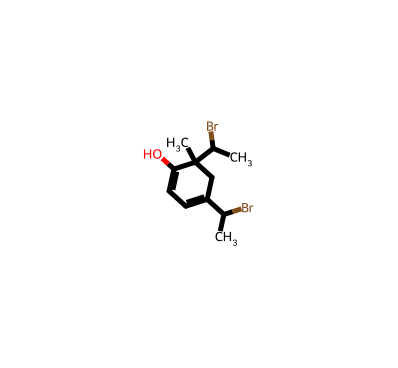 CC(Br)C1=CC=C(O)C(C)(C(C)Br)C1